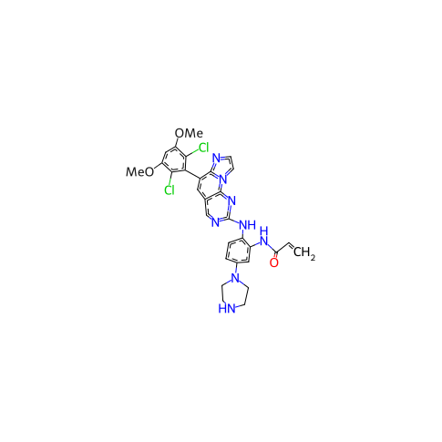 C=CC(=O)Nc1cc(N2CCNCC2)ccc1Nc1ncc2cc(-c3c(Cl)c(OC)cc(OC)c3Cl)c3nccn3c2n1